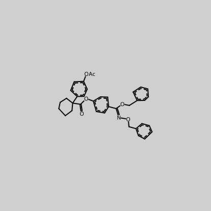 CC(=O)Oc1ccc(C2(C(=O)Oc3ccc(C(=NOCc4ccccc4)OCc4ccccc4)cc3)CCCCC2)cc1